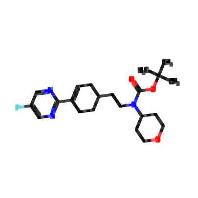 CC(C)(C)OC(=O)N(CCC1CC=C(c2ncc(F)cn2)CC1)C1CCOCC1